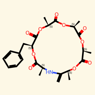 C=C1N[C@@H](C)C(=O)O[C@@H](Cc2ccccc2)C(=O)O[C@@H](C)C(=O)O[C@@H](C)C(=O)O[C@@H](C)C(=O)O[C@H]1C